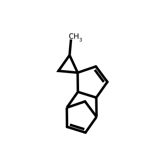 CC1CC12C=CC1C3C=CC(C3)C12